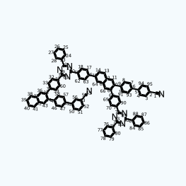 N#Cc1ccc(-c2ccc(-c3cc4ccc(-c5ccc(-c6nc(-c7ccccc7)nc(-c7ccc(-c8cc9ccccc9cc8-c8ccc(-c9cccc(C#N)c9)cc8)cc7)n6)cc5)cc4cc3-c3ccc(-c4nc(-c5ccccc5)nc(-c5ccccc5)n4)cc3)cc2)cc1